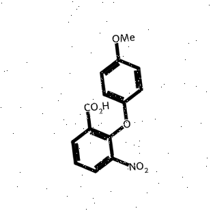 COc1ccc(Oc2c(C(=O)O)cccc2[N+](=O)[O-])cc1